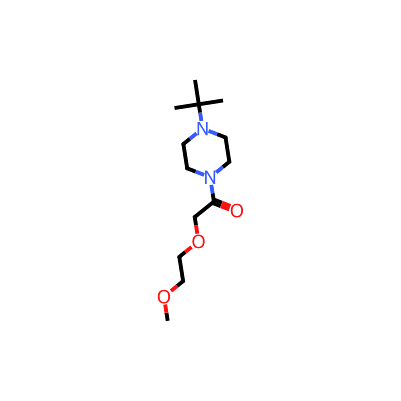 COCCOCC(=O)N1CCN(C(C)(C)C)CC1